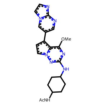 COc1nc(NC2CCC(NC(C)=O)CC2)nn2ccc(-c3cnc4nccn4c3)c12